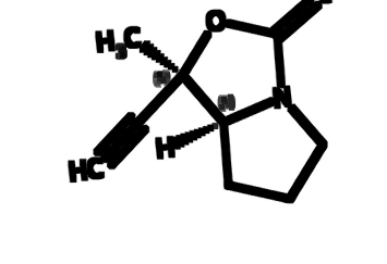 C#C[C@@]1(C)OC(=O)N2CCC[C@H]21